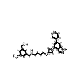 OCc1cc(CNCCCCOC2CN(c3cc(-c4ccnnc4)cc4[nH]ncc34)C2)cc(C(F)(F)F)c1